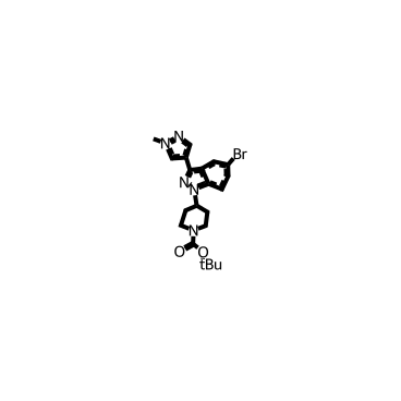 Cn1cc(-c2nn(C3CCN(C(=O)OC(C)(C)C)CC3)c3ccc(Br)cc23)cn1